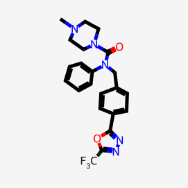 CN1CCN(C(=O)N(Cc2ccc(-c3nnc(C(F)(F)F)o3)cc2)c2ccccc2)CC1